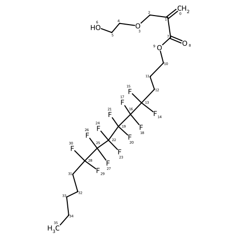 C=C(COCCO)C(=O)OCCCC(F)(F)C(F)(F)C(F)(F)C(F)(F)C(F)(F)C(F)(F)CCCCC